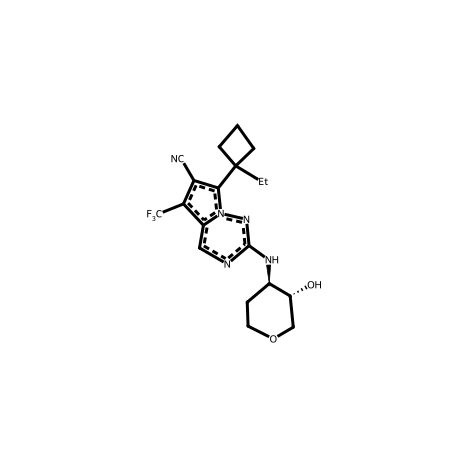 CCC1(c2c(C#N)c(C(F)(F)F)c3cnc(N[C@@H]4CCOC[C@H]4O)nn23)CCC1